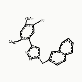 COc1cc(OC)c(C(C)C)cc1-c1cn(Cc2ccc3ccccc3c2)nn1